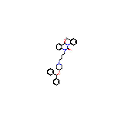 CCc1ccccc1-n1c(=O)c2ccccc2n(CCCCN2CCC(OC(c3ccccc3)c3ccccc3)CC2)c1=O